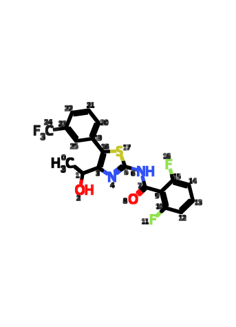 CC(O)c1nc(NC(=O)c2c(F)cccc2F)sc1-c1cccc(C(F)(F)F)c1